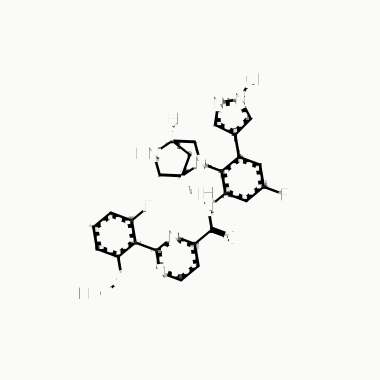 COc1cccc(F)c1-c1nccc(C(=O)Nc2cc(F)cc(-c3cnn(C)c3)c2N2C[C@H]3C[C@@H]2CN3)n1